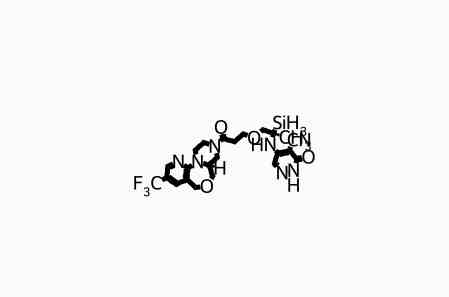 C[C@]([SiH3])(COCCC(=O)N1CCN2c3ncc(C(F)(F)F)cc3COC[C@H]2C1)Nc1cn[nH]c(=O)c1C#N